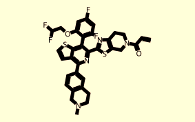 C=CC(=O)N1CCc2nc(-c3nc(-c4ccc5c(c4)CCN(C)C5)c4ccsc4c3-c3c(F)cc(F)cc3OCC(F)F)sc2C1